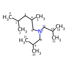 CC(C)[CH]C(C)CN(CC(C)C)CC(C)C